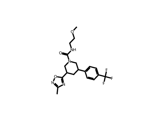 COCCNC(=O)N1CC(c2ccc(C(F)(F)F)cc2)CC(c2nc(C)no2)C1